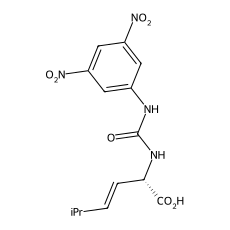 CC(C)C=C[C@H](NC(=O)Nc1cc([N+](=O)[O-])cc([N+](=O)[O-])c1)C(=O)O